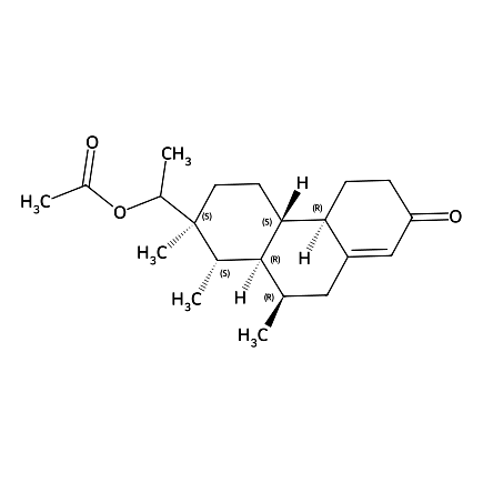 CC(=O)OC(C)[C@@]1(C)CC[C@H]2[C@@H]([C@H](C)CC3=CC(=O)CC[C@@H]32)[C@@H]1C